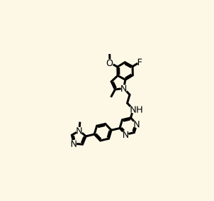 COc1cc(F)cc2c1cc(C)n2CCNc1cc(-c2ccc(-c3cncn3C)cc2)ncn1